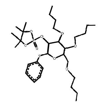 CCCCOCC1OC(Sc2ccccc2)C(OP2(=O)OC(C)(C)C(C)(C)O2)C(OCCCC)C1OCCCC